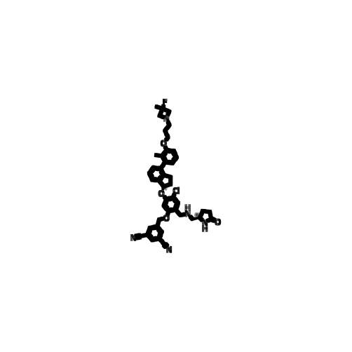 Cc1c(OCCCN2CC(C)(F)C2)cccc1-c1cccc2c1CC[C@@H]2Oc1cc(OCc2cc(C#N)cc(C#N)c2)c(CNC[C@H]2CCC(=O)N2)cc1Cl